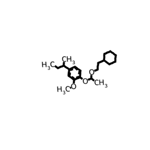 CCC(C)c1ccc(OC(C)OCCC2CCCCC2)c(OC)c1